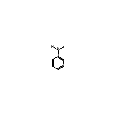 C[C@H]([N])c1ccccc1